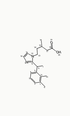 Cc1cccc(C(C)c2nccn2CCC(C)CC(=O)O)c1C